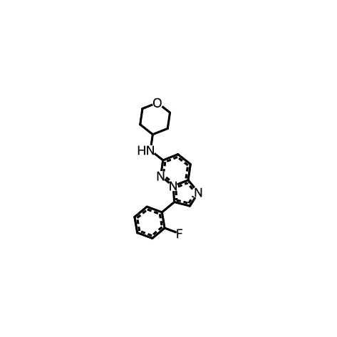 Fc1ccccc1-c1cnc2ccc(NC3CCOCC3)nn12